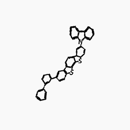 C1=CC2Sc3c(ccc4c3sc3ccc(-c5cccc(-c6ccccc6)c5)cc34)C2C=C1n1c2ccccc2c2ccccc21